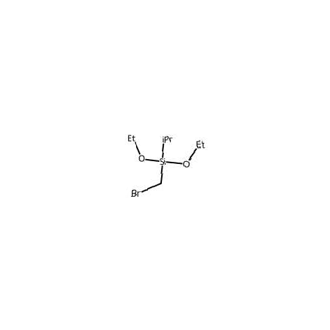 CCO[Si](CBr)(OCC)C(C)C